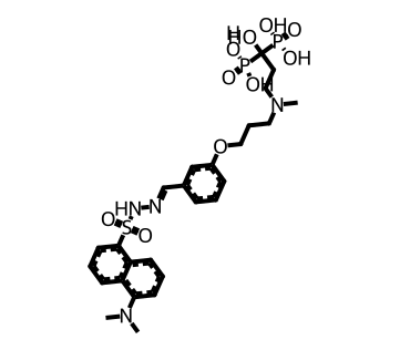 CN(CCCOc1cccc(/C=N/NS(=O)(=O)c2cccc3c(N(C)C)cccc23)c1)CCC(O)(P(=O)(O)O)P(=O)(O)O